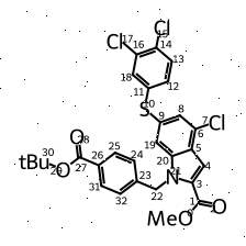 COC(=O)c1cc2c(Cl)cc(Sc3ccc(Cl)c(Cl)c3)cc2n1Cc1ccc(C(=O)OC(C)(C)C)cc1